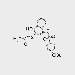 C=C(O)CSc1cc(NS(=O)(=O)c2ccc(OCC(C)C)cc2)c2ccccc2c1O